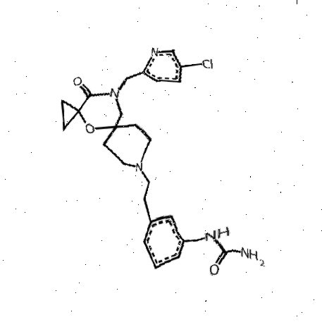 NC(=O)Nc1cccc(CCN2CCC3(CC2)CN(Cc2ccc(Cl)cn2)C(=O)C2(CC2)O3)c1